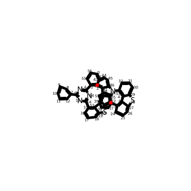 c1ccc(-c2nc(-c3ccccc3)nc(-c3cccc4sc5c(-c6cccc7sc8cccc(-n9c%10ccccc%10c%10ccccc%109)c8c67)cccc5c34)n2)cc1